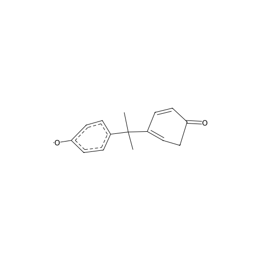 CC(C)(C1=CCC(=O)C=C1)c1ccc([O])cc1